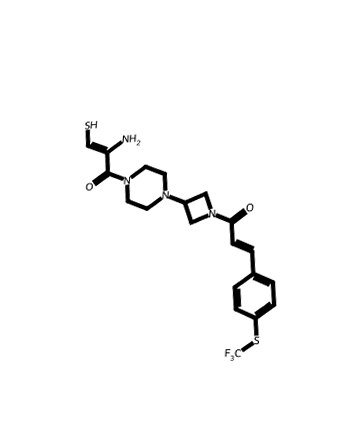 N/C(=C\S)C(=O)N1CCN(C2CN(C(=O)/C=C/c3ccc(SC(F)(F)F)cc3)C2)CC1